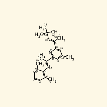 CC(=Nc1c(C)cccc1C)c1cc(C)cc(C(C)=NC(C)(C)C)n1